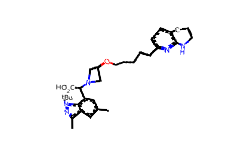 Cc1cc(C(C(=O)O)N2CC(OCCCCCc3ccc4c(n3)NCCC4)C2)c2c(c1)c(C)nn2C(C)(C)C